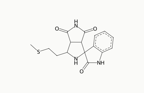 CSCCC1NC2(C(=O)Nc3ccccc32)C2C(=O)NC(=O)C12